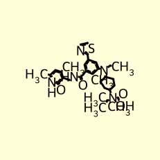 CCN(c1cc(-c2nccs2)cc(C(=O)NCc2c(C)cc(C)[nH]c2=O)c1C)C1CCC(N(C(=O)O)C(C)(C)C)CC1